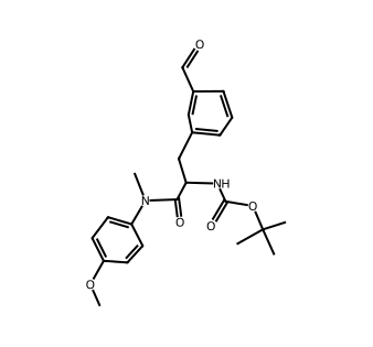 COc1ccc(N(C)C(=O)C(Cc2cccc(C=O)c2)NC(=O)OC(C)(C)C)cc1